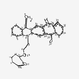 C=C1c2ccccc2N(CCOC2CCCCO2)c2cc3c(=O)c4ccccc4[nH]c3cc21